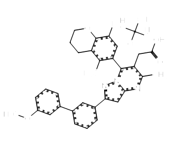 COc1cccc(-c2cccc(-c3cc4nc(C)c([C@H](OC(C)(C)C)C(=O)O)c(-c5cc(F)c6c(c5C)CCCO6)n4n3)c2)c1